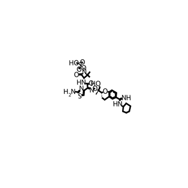 CC1(C)[C@H](NC(=O)/C(=N\O[C@](C)(CO)[C@H]2CCc3cc(C(=N)NC4CCCCC4)ccc3O2)c2csc(N)n2)C(=O)N1OS(=O)(=O)O